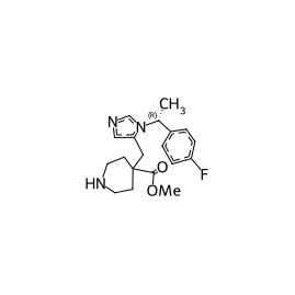 COC(=O)C1(Cc2cncn2[C@H](C)c2ccc(F)cc2)CCNCC1